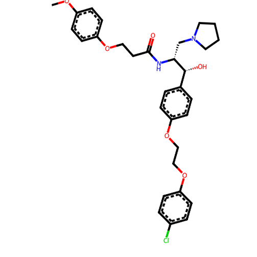 COc1ccc(OCCC(=O)N[C@H](CN2CCCC2)[C@H](O)c2ccc(OCCOc3ccc(Cl)cc3)cc2)cc1